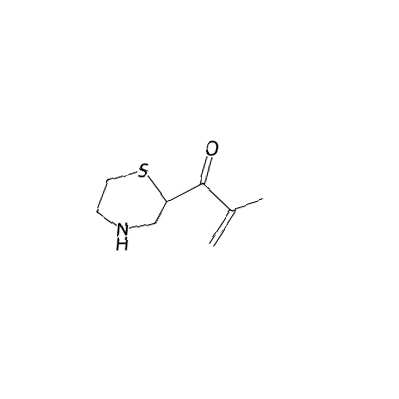 C=C(C)C(=O)C1CNCCS1